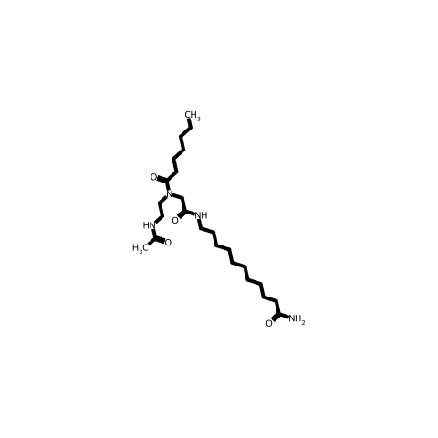 CCCCCCC(=O)N(CCNC(C)=O)CC(=O)NCCCCCCCCCCC(N)=O